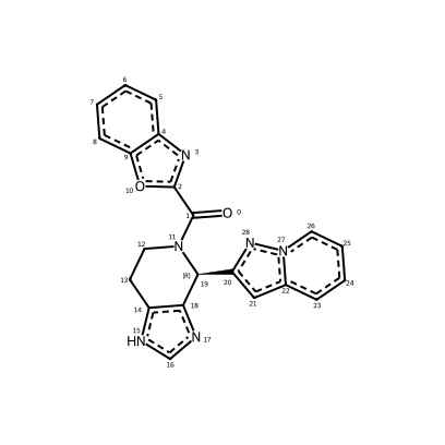 O=C(c1nc2ccccc2o1)N1CCc2[nH]cnc2[C@@H]1c1cc2ccccn2n1